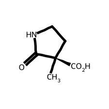 C[C@@]1(C(=O)O)CCNC1=O